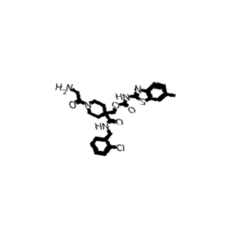 Cc1ccc2nc(NC(=O)OCC3(C(=O)NCc4ccccc4Cl)CCN(C(=O)CN)CC3)sc2c1